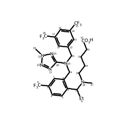 CCC(c1ccc(C(F)(F)F)cc1CN(Cc1cc(C(F)(F)F)cc(C(F)(F)F)c1)c1nnn(C)n1)N(C)CCCCC(=O)O